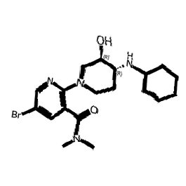 CN(C)C(=O)c1cc(Br)cnc1N1CC[C@@H](NC2CCCCC2)[C@H](O)C1